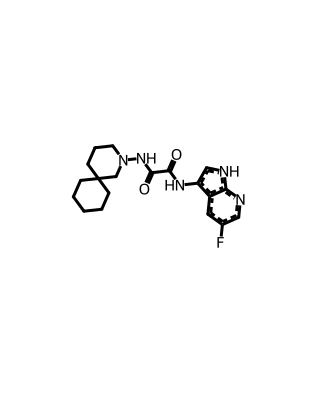 O=C(Nc1c[nH]c2ncc(F)cc12)C(=O)NN1CCCC2(CCCCC2)C1